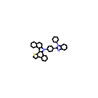 c1ccc(-n2c(-c3ccc(-n4c5ccc6ccccc6c5c5c6sccc6c6ccccc6c54)cc3)nc3ccccc32)cc1